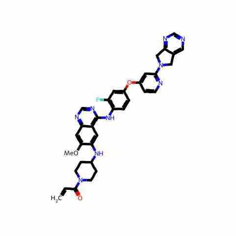 C=CC(=O)N1CCC(Nc2cc3c(Nc4ccc(Oc5ccnc(N6Cc7cncnc7C6)c5)cc4F)ncnc3cc2OC)CC1